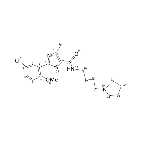 COc1ccc(Cl)cc1-c1nc(C)c(C(=O)NCCCCN2CCCC2)s1